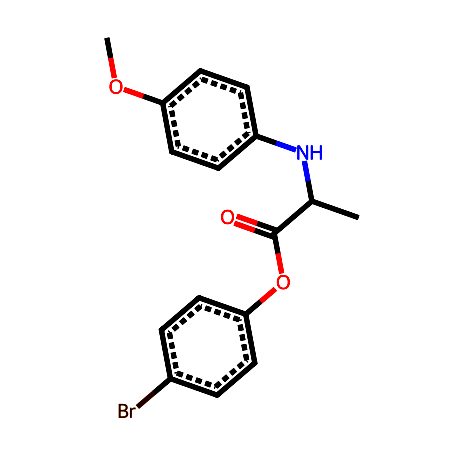 COc1ccc(NC(C)C(=O)Oc2ccc(Br)cc2)cc1